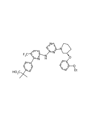 CCOc1ccccc1O[C@@H]1CCCN(c2cncc(Nc3ccc(C(F)(F)F)c(-c4ccc(C(C)(C)C(=O)O)cc4)n3)n2)C1